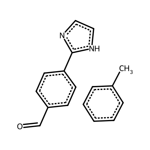 Cc1ccccc1.O=Cc1ccc(-c2ncc[nH]2)cc1